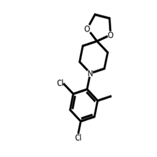 Cc1cc(Cl)cc(Cl)c1N1CCC2(CC1)OCCO2